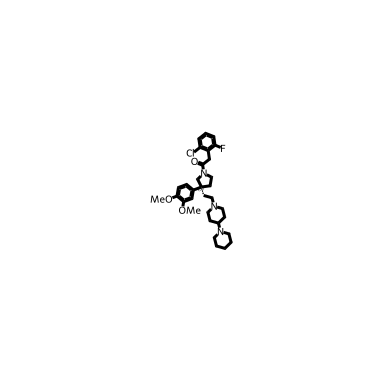 COc1ccc([C@]2(CCN3CCC(N4CCCCC4)CC3)CCN(C(=O)Cc3c(F)cccc3Cl)C2)cc1OC